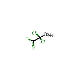 COC(Cl)(Cl)C(F)F